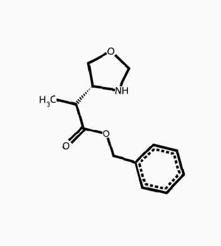 CC(C(=O)OCc1ccccc1)[C@@H]1COCN1